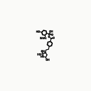 CC(=O)Nc1cc(O)ccc1[As](=O)(O)OC(=O)c1ccc(CCN2CC(O)NS2(O)O)cc1